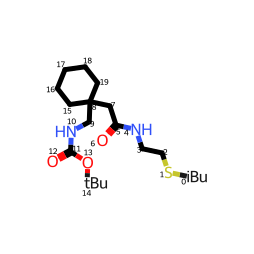 CCC(C)SCCNC(=O)CC1(CNC(=O)OC(C)(C)C)CCCCC1